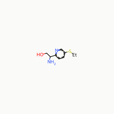 CCSc1ccc(C(N)CO)nc1